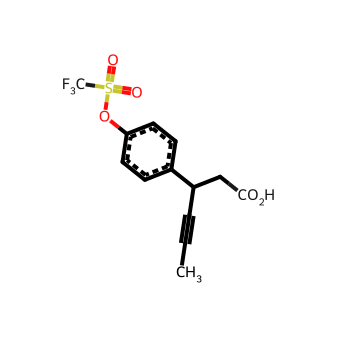 CC#CC(CC(=O)O)c1ccc(OS(=O)(=O)C(F)(F)F)cc1